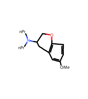 CCCN(CCC)C1COc2ccc(OC)cc2C1